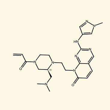 C=CC(=O)N1CCN(CCn2c(=O)ccc3cnc(Nc4cnn(C)c4)nc32)[C@@H](CN(C)C)C1